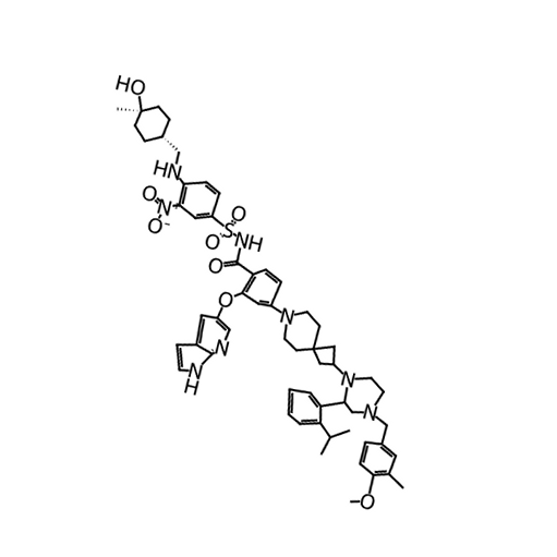 COc1ccc(CN2CCN(C3CC4(CCN(c5ccc(C(=O)NS(=O)(=O)c6ccc(NC[C@H]7CC[C@](C)(O)CC7)c([N+](=O)[O-])c6)c(Oc6cnc7[nH]ccc7c6)c5)CC4)C3)C(c3ccccc3C(C)C)C2)cc1C